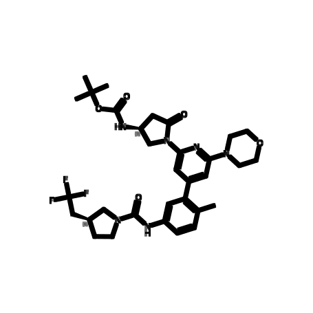 Cc1ccc(NC(=O)N2CC[C@@H](CC(F)(F)F)C2)cc1-c1cc(N2CCOCC2)nc(N2C[C@@H](NC(=O)OC(C)(C)C)CC2=O)c1